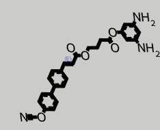 N#COc1ccc(-c2ccc(/C=C/C(=O)OCCCC(=O)Oc3cc(N)cc(N)c3)cc2)cc1